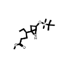 CCC(CCC(=O)OC)C12CC(O[Si](C)(C)C(C)(C)C)C1N2